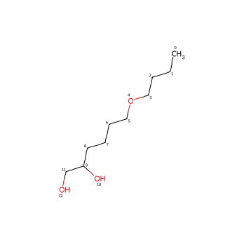 CCCCOCCCCC(O)CO